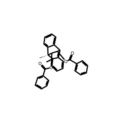 CC12C=CC=CC1=C1c3ccccc3[C@@]2(C)C(OC(=O)c2ccccc2)C1OC(=O)c1ccccc1